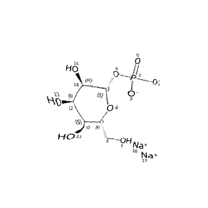 O=P([O-])([O-])O[C@@H]1O[C@H](CO)[C@@H](O)[C@@H](O)[C@H]1O.[Na+].[Na+]